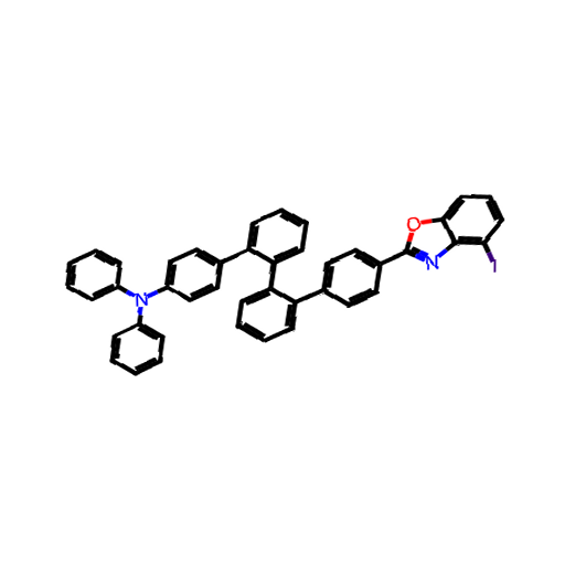 Ic1cccc2oc(-c3ccc(-c4ccccc4-c4ccccc4-c4ccc(N(c5ccccc5)c5ccccc5)cc4)cc3)nc12